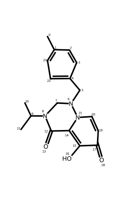 Cc1ccc(CN2CN(C(C)C)C(=O)c3c(O)c(=O)ccn32)cc1